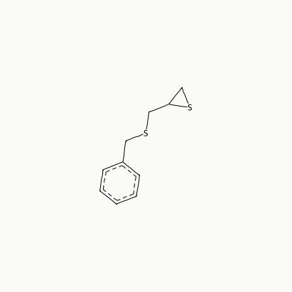 c1ccc(CSCC2CS2)cc1